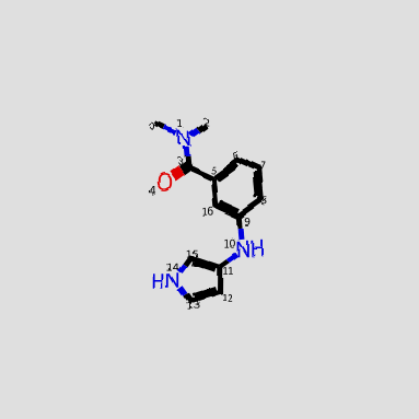 CN(C)C(=O)c1cccc(Nc2cc[nH]c2)c1